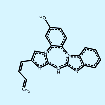 C=C/C=C\c1cn2c(n1)[nH]c1nc3ccccc3n1c1ccc(O)cc12